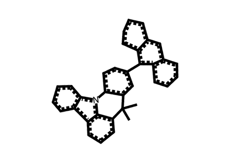 CC1(C)c2cc(-c3c4ccccc4cc4ccccc34)ccc2-n2c3ccccc3c3cccc1c32